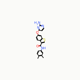 Cc1ccc(NC(=O)c2csc3cc(Oc4ccnc(N)n4)ccc23)cc1C